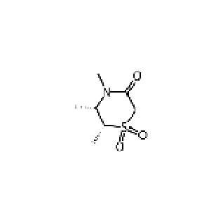 C[C@@H]1[C@H](C)N(C)C(=O)CS1(=O)=O